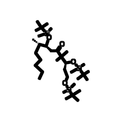 CCCCC[C@H](C)[C@H](CC(=O)C(C)(C)[C@H](CCO[Si](C)(C)C(C)(C)C)O[Si](C)(C)C(C)(C)C)O[Si](C)(C)C(C)(C)C